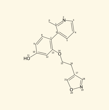 Cc1ncccc1-c1ccc(O)cc1OCCc1cnoc1